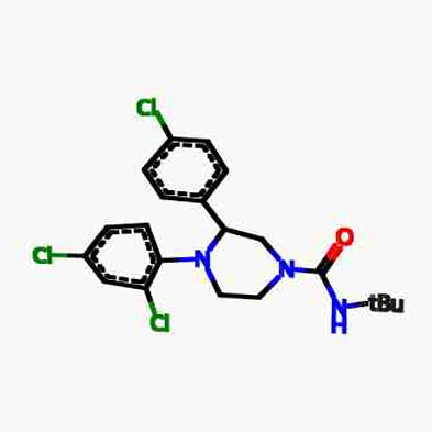 CC(C)(C)NC(=O)N1CCN(c2ccc(Cl)cc2Cl)C(c2ccc(Cl)cc2)C1